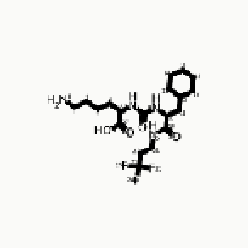 NCCCCC(NC(=O)NC(CC1CCCCC1)C(=O)NCCC(F)(F)F)C(=O)O